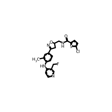 Cc1cc(C2=NOC(CNC(=O)c3ccc(Cl)s3)C2)ccc1Nc1ccncc1CF